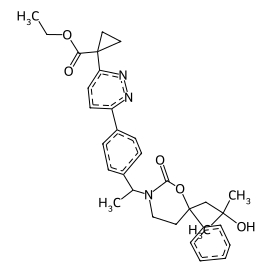 CCOC(=O)C1(c2ccc(-c3ccc(C(C)N4CCC(CC(C)(C)O)(c5ccccc5)OC4=O)cc3)nn2)CC1